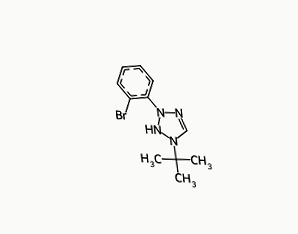 CC(C)(C)N1C=NN(c2ccccc2Br)N1